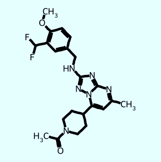 COc1ccc(CNc2nc3nc(C)cc(C4CCN(C(C)=O)CC4)n3n2)cc1C(F)F